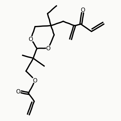 C=CC(=O)OCC(C)(C)C1OCC(CC)(CC(=C)C(=O)C=C)CO1